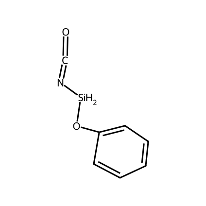 O=C=N[SiH2]Oc1ccccc1